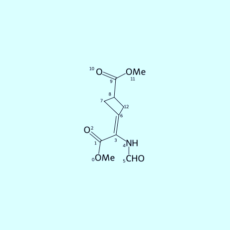 COC(=O)C(NC=O)=C1CC(C(=O)OC)C1